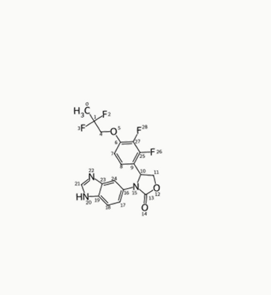 CC(F)(F)COc1ccc(C2COC(=O)N2c2ccc3[nH]cnc3c2)c(F)c1F